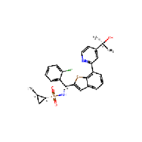 CC(C)[C@@H]1C[C@H]1S(=O)(=O)N[C@@H](c1cc2cccc(-c3cc([C@](C)(O)C(F)(F)F)ccn3)c2s1)c1ccccc1Cl